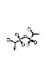 O=S(=O)(OS(=O)(=O)C(F)Cl)C(F)Cl